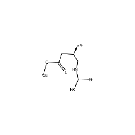 CCC[C@@H](CNC(C#N)CC)CC(=O)OC(C)(C)C